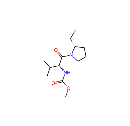 COC(=O)N[C@H](C(=O)N1CCC[C@H]1CI)C(C)C